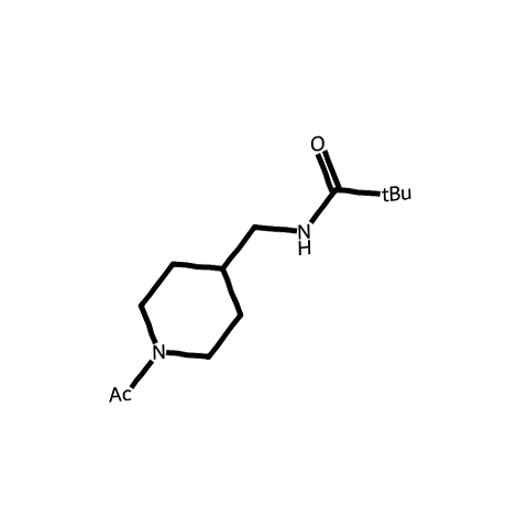 CC(=O)N1CCC(CNC(=O)C(C)(C)C)CC1